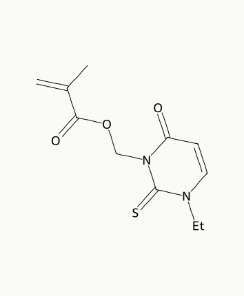 C=C(C)C(=O)OCn1c(=O)ccn(CC)c1=S